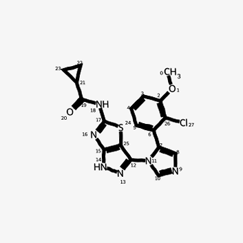 COc1cccc(-c2cncn2-c2n[nH]c3nc(NC(=O)C4CC4)sc23)c1Cl